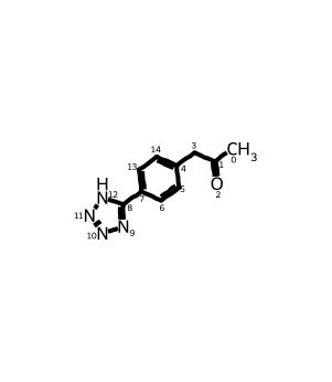 CC(=O)Cc1ccc(-c2nnn[nH]2)cc1